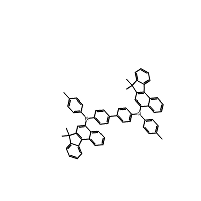 Cc1ccc(N(c2ccc(-c3ccc(N(c4ccc(C)cc4)c4cc5c(c6ccccc46)-c4ccccc4C5(C)C)cc3)cc2)c2cc3c(c4ccccc24)-c2ccccc2C3(C)C)cc1